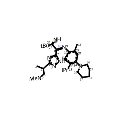 CNCC(C)c1n[nH]c(/C(=N\c2cc(C(C)C)c(N3CCCCC3)cc2C)C(=N)C(C)(C)C)n1